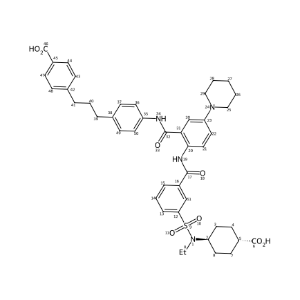 CCN([C@H]1CC[C@H](C(=O)O)CC1)S(=O)(=O)c1cccc(C(=O)Nc2ccc(N3CCCCC3)cc2C(=O)Nc2ccc(CCCc3ccc(C(=O)O)cc3)cc2)c1